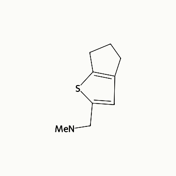 CNCc1cc2c(s1)CCC2